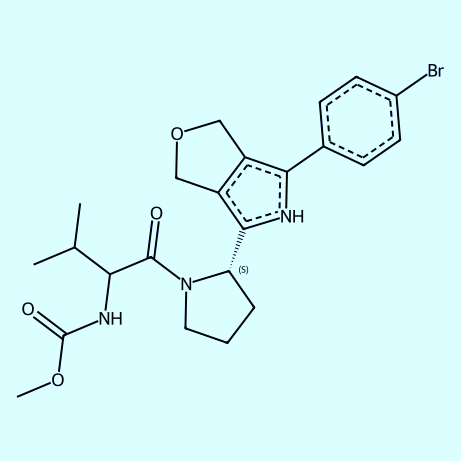 COC(=O)NC(C(=O)N1CCC[C@H]1c1[nH]c(-c2ccc(Br)cc2)c2c1COC2)C(C)C